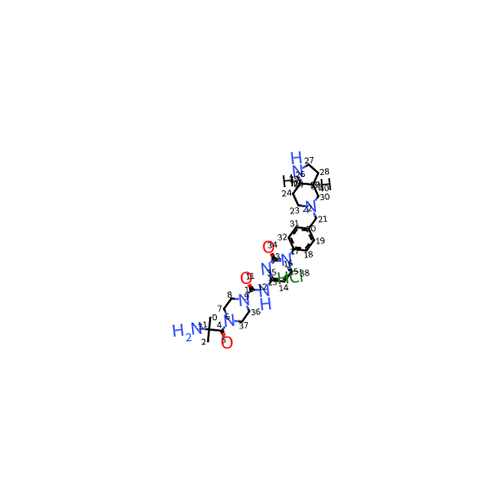 CC(C)(N)C(=O)N1CCN(C(=O)Nc2ccn(-c3ccc(CN4CC[C@H]5NCC[C@H]5C4)cc3)c(=O)n2)CC1.Cl